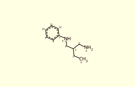 CCC(CN)CNc1ccccc1